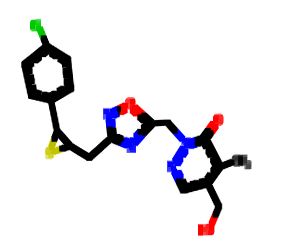 Cc1c(CO)cnn(Cc2nc(CC3SC3c3ccc(Cl)cc3)no2)c1=O